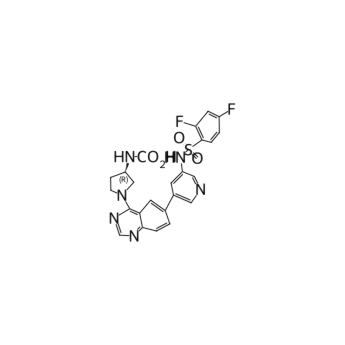 O=C(O)N[C@@H]1CCN(c2ncnc3ccc(-c4cncc(NS(=O)(=O)c5ccc(F)cc5F)c4)cc23)C1